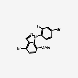 COc1ccc(Br)c2cnn(-c3ccc(Br)cc3F)c12